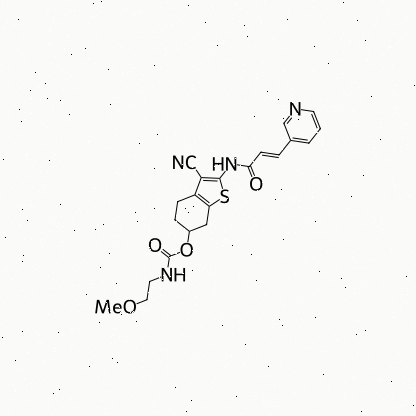 COCCNC(=O)OC1CCc2c(sc(NC(=O)/C=C/c3cccnc3)c2C#N)C1